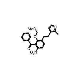 COCOc1c(C=Cc2ccoc2C)ccc([N+](=O)[O-])c1C(=O)c1ccccc1